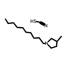 CCCCCCCCCCN1CCC(C)C1.N#CS